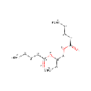 CCCCCCCCCCCCCC(=O)OCC(COC)OC(=O)CCCCCCCCCCCCC